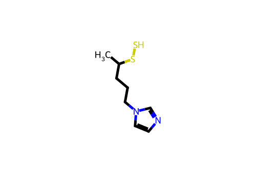 CC(CCCn1ccnc1)SS